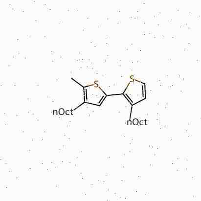 CCCCCCCCc1cc(-c2sccc2CCCCCCCC)sc1C